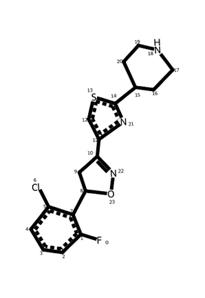 Fc1cccc(Cl)c1C1CC(c2csc(C3CCNCC3)n2)=NO1